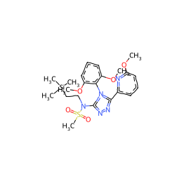 COc1cccc(-c2nnc(N(CC[Si](C)(C)C)S(C)(=O)=O)n2-c2c(OC)cccc2OC)n1